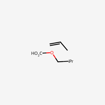 C=CC.CC(C)COC(=O)O